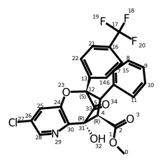 COC(=O)[C@@H]1C(c2ccccc2)[C@@]2(c3ccc(C(F)(F)F)cc3)Oc3cc(Cl)cnc3[C@@]1(O)C2=O